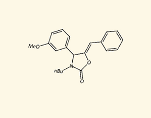 CCCCN1C(=O)OC(=Cc2ccccc2)C1c1cccc(OC)c1